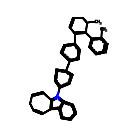 Cc1c#cccc1C1=C(c2ccc(-c3ccc(-n4c5c(c6ccccc64)C=CCC=C5)cc3)cc2)C=CCC1C